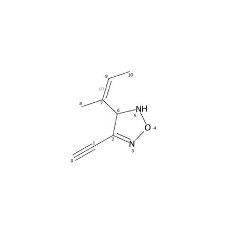 C#CC1=NONC1/C(C)=C\C